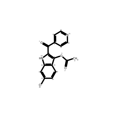 CC(=O)Oc1c(C(=O)c2ccncc2)[nH]c2cc(Cl)ccc12